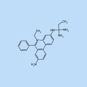 CC[n+]1c(-c2ccccc2)c2cc(N)ccc2c2ccc(NC(N)(N)CC)cc21